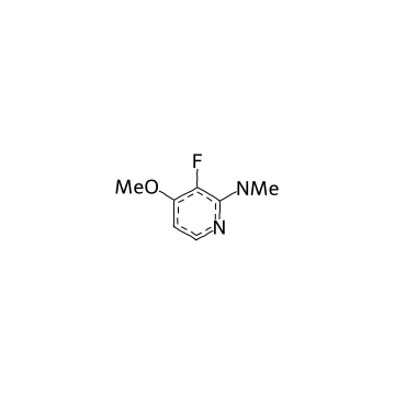 CNc1nccc(OC)c1F